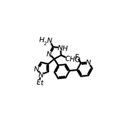 CCn1cc(C2(c3cccc(-c4cccnc4F)c3)N=C(N)NC2C=O)cn1